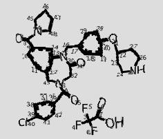 O=C(O)C(F)(F)F.O=C(c1ccc2c(c1)N(Cc1ccc(OC3CCNCC3)cc1)C(=O)CN(C(=O)c1ccc(Cl)cc1)C2)N1CCCC1